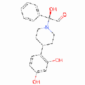 O=C[C@@](O)(c1ccccc1)N1CCC(c2ccc(O)cc2O)CC1